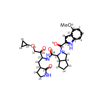 COc1cccc2[nH]c(C(=O)N3CC4CCCC4C3C(=O)NC(CC3CCNC3=O)C(=O)COC3CC3)cc12